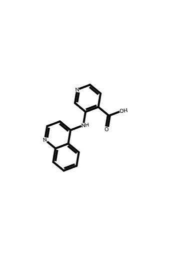 O=C(O)c1ccncc1Nc1ccnc2ccccc12